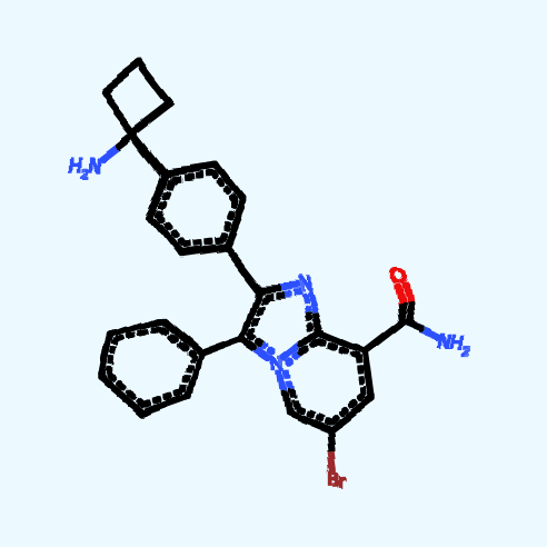 NC(=O)c1cc(Br)cn2c(-c3ccccc3)c(-c3ccc(C4(N)CCC4)cc3)nc12